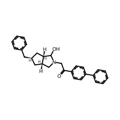 O=C(CN1C[C@@H]2C[C@@H](Cc3ccccc3)C[C@@H]2C1O)c1ccc(-c2ccccc2)cc1